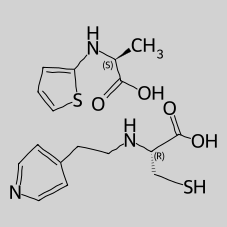 C[C@H](Nc1cccs1)C(=O)O.O=C(O)[C@H](CS)NCCc1ccncc1